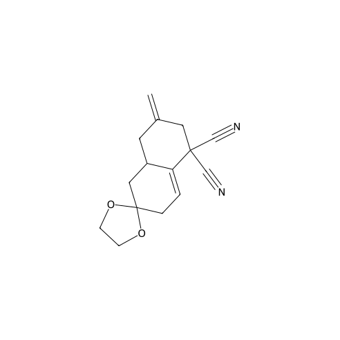 C=C1CC2CC3(CC=C2C(C#N)(C#N)C1)OCCO3